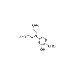 CC(=O)OCCN(CCOC(C)=O)c1ccc(C=O)c(O)c1